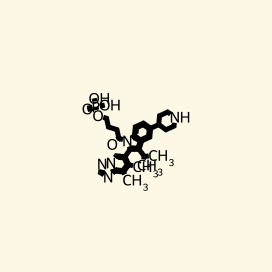 Cc1c(-c2c(C(C)C)c3cc(C4CCNCC4)ccc3n2C(=O)CCCOP(=O)(O)O)cn2ncnc2c1C